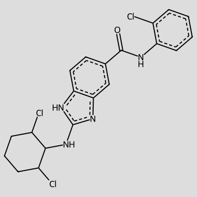 O=C(Nc1ccccc1Cl)c1ccc2[nH]c(NC3C(Cl)CCCC3Cl)nc2c1